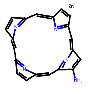 NC1=CC2=CC3=NC(=CC4=NC(=CC5=NC(=CC1=N2)C=C5)C=C4)C=C3.[Zn]